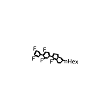 CCCCCCc1ccc2c(F)c(-c3cc(F)c(-c4cc(F)cc(F)c4)c(F)c3)ccc2c1